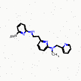 CNc1cccc(NCCc2cccc(N(C)Cc3ccccn3)n2)n1